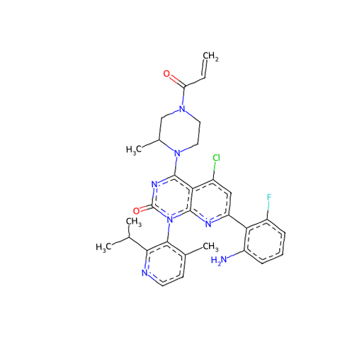 C=CC(=O)N1CCN(c2nc(=O)n(-c3c(C)ccnc3C(C)C)c3nc(-c4c(N)cccc4F)cc(Cl)c23)C(C)C1